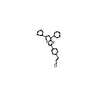 O=CC=Cc1ccc(-c2cn3cc(-c4ccccc4)cc(-c4ccccc4)c3n2)cc1